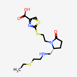 CCSCCNC[C@H]1CCC(=O)N1CCSc1nc(C(=O)O)cs1